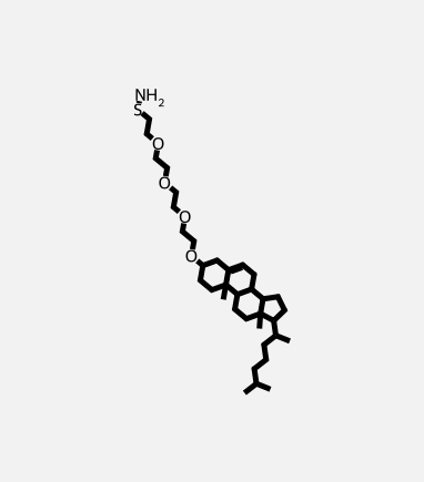 CC(C)CCCC(C)C1CCC2C3CC=C4CC(OCCOCCOCCOCCSN)CCC4(C)C3CCC12C